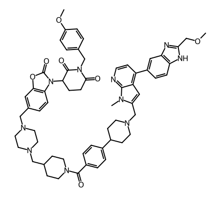 COCc1nc2cc(-c3ccnc4c3cc(CN3CCC(c5ccc(C(=O)N6CCC(CN7CCN(Cc8ccc9c(c8)oc(=O)n9C8CCC(=O)N(Cc9ccc(OC)cc9)C8=O)CC7)CC6)cc5)CC3)n4C)ccc2[nH]1